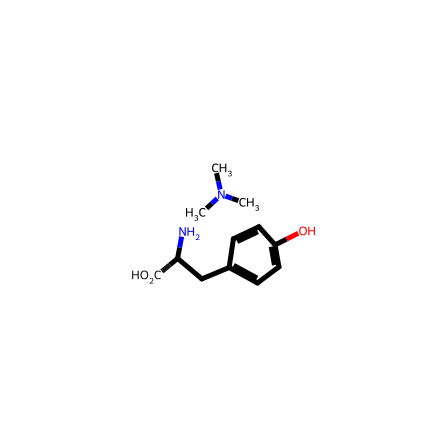 CN(C)C.NC(Cc1ccc(O)cc1)C(=O)O